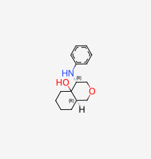 OC12CCCC[C@@H]1COC[C@H]2Nc1ccccc1